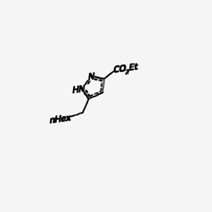 CCCCCCCc1cc(C(=O)OCC)n[nH]1